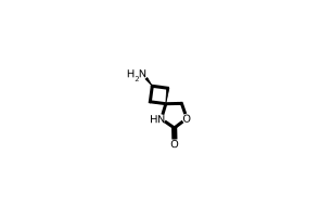 N[C@H]1C[C@]2(COC(=O)N2)C1